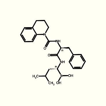 CC(C)C[C@H](NC(=O)[C@H](Cc1ccccc1)NC(=O)N1CCCc2ccccc21)B(O)O